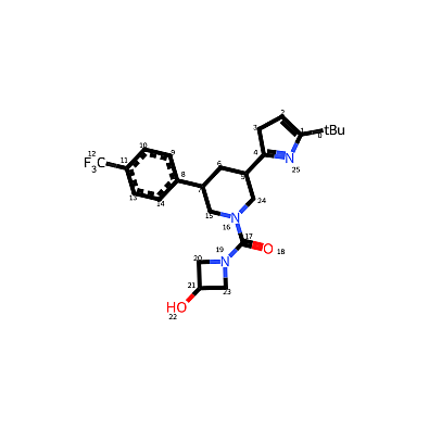 CC(C)(C)C1=CCC(C2CC(c3ccc(C(F)(F)F)cc3)CN(C(=O)N3CC(O)C3)C2)=N1